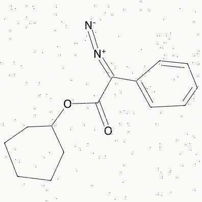 [N-]=[N+]=C(C(=O)OC1CCCCC1)c1ccccc1